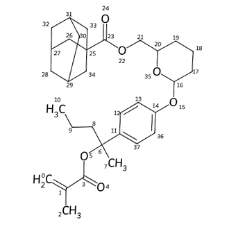 C=C(C)C(=O)OC(C)(CCC)c1ccc(OC2CCCC(COC(=O)C34CC5CC(CC(C5)C3)C4)O2)cc1